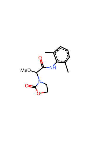 COC(C(=O)Nc1c(C)cccc1C)N1CCOC1=O